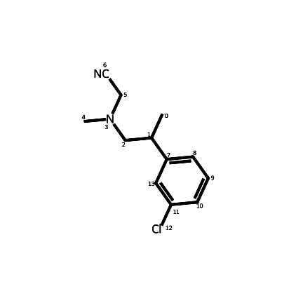 CC(CN(C)CC#N)c1cccc(Cl)c1